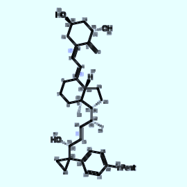 C=C1/C(=C\C=C2/CCC[C@]3(C)[C@@H]([C@H](C)/C=C/[C@@H](O)C4(c5ccc(CCCCC)cc5)CC4)CC[C@@H]23)C[C@@H](O)C[C@@H]1O